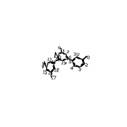 Cc1cccc(-c2cc(C)nc(-c3cncc(C)c3)c2)c1